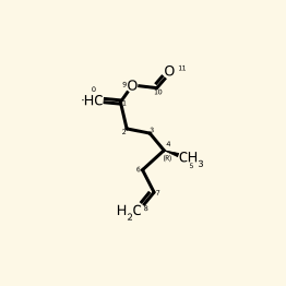 [CH]=C(CC[C@@H](C)CC=C)OC=O